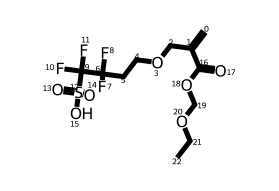 C=C(COCCC(F)(F)C(F)(F)S(=O)(=O)O)C(=O)OCOCC